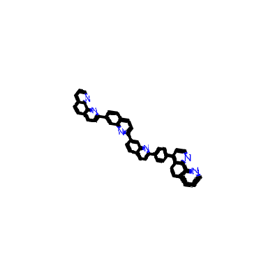 c1cnc2c(c1)ccc1ccc(-c3ccc4ccc(-c5ccc6ccc(-c7ccc(-c8ccnc9c8ccc8cccnc89)cc7)nc6c5)nc4c3)nc12